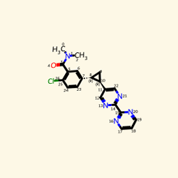 CN(C)C(=O)c1cc([C@@H]2C[C@H]2c2cnc(-c3ncccn3)nc2)ccc1Cl